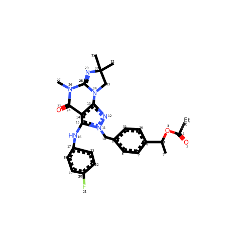 CCC(=O)OC(C)c1ccc(Cn2nc3c(c2Nc2ccc(F)cc2)C(=O)N(C)C2=NC(C)(C)CN23)cc1